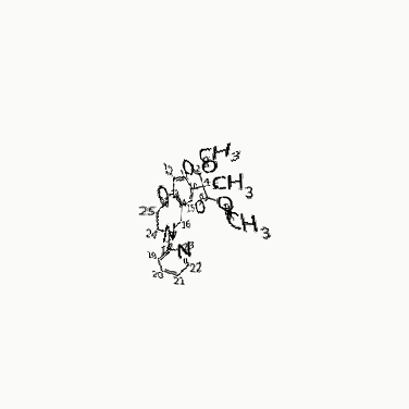 COC(=O)C(C)(C(=O)OC)c1ccc2c(c1)CN(c1ccccn1)CCO2